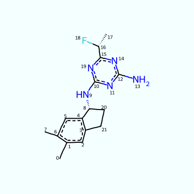 Cc1cc2c(cc1C)[C@H](Nc1nc(N)nc([C@@H](C)F)n1)CC2